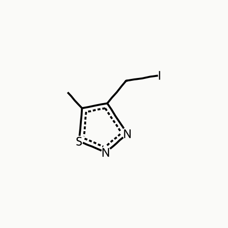 Cc1snnc1CI